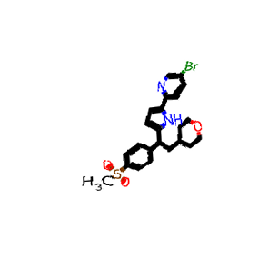 CS(=O)(=O)c1ccc(C(CC2CCOCC2)c2ccc(-c3ccc(Br)cn3)[nH]2)cc1